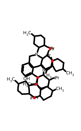 CC1CCC(C(C)C)C(N(Cc2ccc(O)c(CN(C3CC(C)CCC3C(C)C)C3CC(C)CCC3C(C)C)c2CN(C2CC(C)CCC2C(C)C)C2CC(C)CCC2C(C)C)C2CC(C)CCC2C(C)C)C1